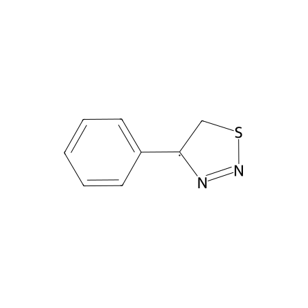 c1ccc([C]2CSN=N2)cc1